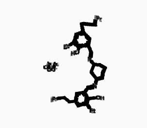 CC(=O)[O-].CC(=O)[O-].CCc1cc(CCC(C)C)cc(C=NC2CCCC(N=Cc3cc(CCC(C)C)cc(CC)c3O)C2)c1O.[Co+2]